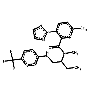 CCC(CNc1ccc(C(F)(F)F)nc1)N(C)C(=O)c1nc(C)ccc1-n1nccn1